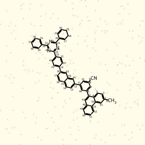 Cc1ccc2c(-c3cc(C#N)cc(-c4ccc5ccc(-c6ccc(-c7nc(C8=CCCC=C8)nc(-c8ccccc8)n7)cc6)cc5c4)c3)cc3ccccc3c2c1